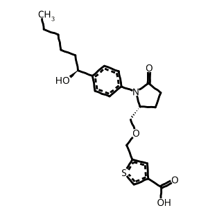 CCCCC[C@H](O)c1ccc(N2C(=O)CC[C@@H]2COCc2cc(C(=O)O)cs2)cc1